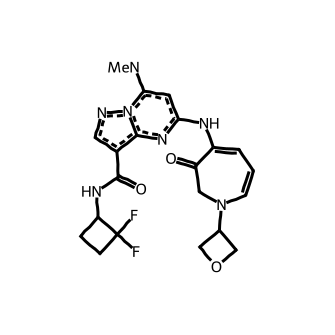 CNc1cc(NC2=CC=CN(C3COC3)CC2=O)nc2c(C(=O)NC3CCC3(F)F)cnn12